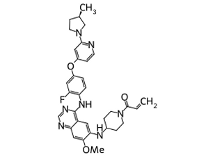 C=CC(=O)N1CCC(Nc2cc3c(Nc4ccc(Oc5ccnc(N6CC[C@@H](C)C6)c5)cc4F)ncnc3cc2OC)CC1